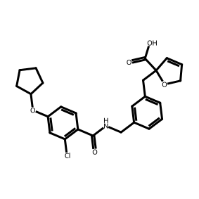 O=C(NCc1cccc(CC2(C(=O)O)C=CCO2)c1)c1ccc(OC2CCCC2)cc1Cl